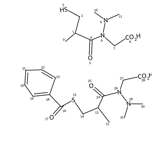 CC(CS)C(=O)N(CC(=O)O)N(C)C.CC(CSC(=O)c1ccccc1)C(=O)N(CC(=O)O)N(C)C